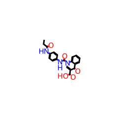 CCC(=O)Nc1ccc(NC(=O)n2cc(C(=O)O)c(=O)c3ccccc32)cc1